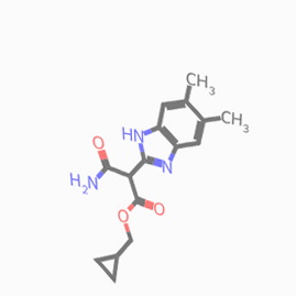 Cc1cc2nc(C(C(N)=O)C(=O)OCC3CC3)[nH]c2cc1C